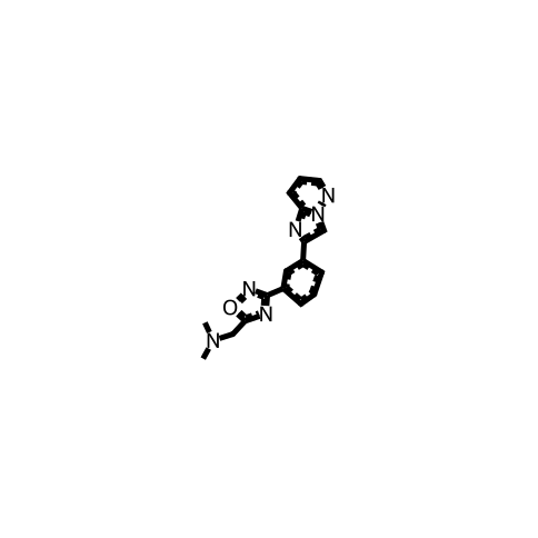 CN(C)Cc1nc(-c2cccc(-c3cn4ncccc4n3)c2)no1